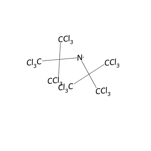 ClC(Cl)(Cl)C([N]C(C(Cl)(Cl)Cl)(C(Cl)(Cl)Cl)C(Cl)(Cl)Cl)(C(Cl)(Cl)Cl)C(Cl)(Cl)Cl